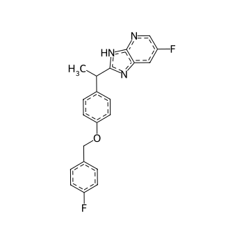 CC(c1ccc(OCc2ccc(F)cc2)cc1)c1nc2cc(F)cnc2[nH]1